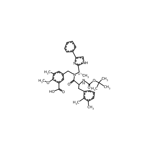 COc1c(C)cc(CN(C(=O)C(Cc2cccc(C)c2C)NC(=O)OC(C)(C)C)[C@@H](C)c2nc(-c3ccccc3)c[nH]2)cc1C(=O)O